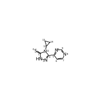 S=c1[nH]nc(-c2ccncn2)n1C1CC1